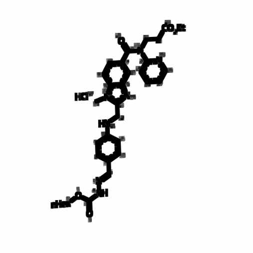 CCCCCCOC(=O)NN=Cc1ccc(NCc2nc3cc(C(=O)N(CCC(=O)OCC)c4ccccn4)ccc3n2C)cc1.Cl